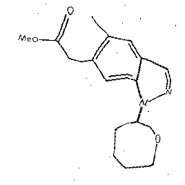 COC(=O)Cc1cc2c(cnn2C2CCCCO2)cc1C